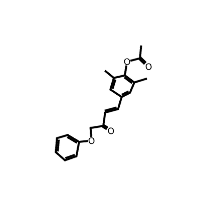 CC(=O)Oc1c(C)cc(/C=C/C(=O)COc2ccccc2)cc1C